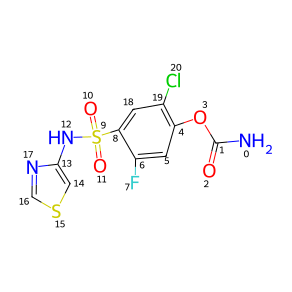 NC(=O)Oc1cc(F)c(S(=O)(=O)Nc2cscn2)cc1Cl